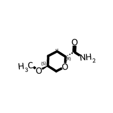 CO[C@H]1C[C][C@H](C(N)=O)OC1